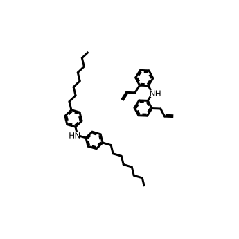 C=CCc1ccccc1Nc1ccccc1CC=C.CCCCCCCCc1ccc(Nc2ccc(CCCCCCCC)cc2)cc1